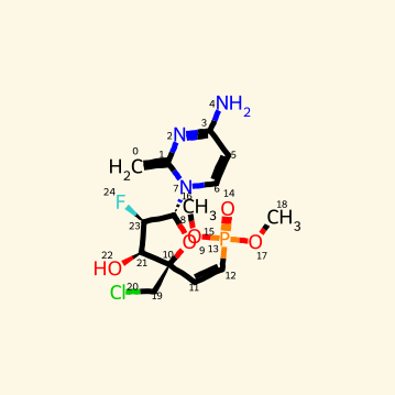 C=C1N=C(N)C=CN1[C@@H]1O[C@@](/C=C\P(=O)(OC)OC)(CCl)[C@@H](O)[C@H]1F